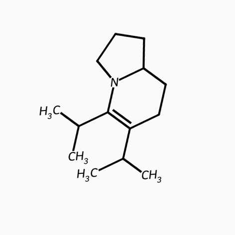 CC(C)C1=C(C(C)C)N2CCCC2CC1